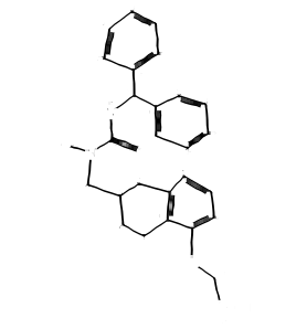 CN(CC1CCc2c(cccc2OCC(=O)O)C1)C(=O)NC(c1ccccc1)c1ccccc1